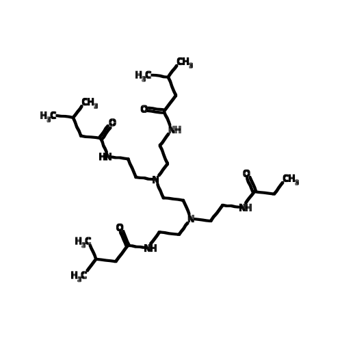 CCC(=O)NCCN(CCNC(=O)CC(C)C)CCN(CCNC(=O)CC(C)C)CCNC(=O)CC(C)C